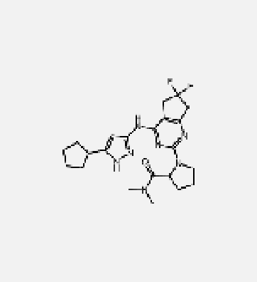 CN(C)C(=O)C1CCCN1c1nc2c(c(Nc3cc(C4CCCC4)[nH]n3)n1)CC(F)(F)C2